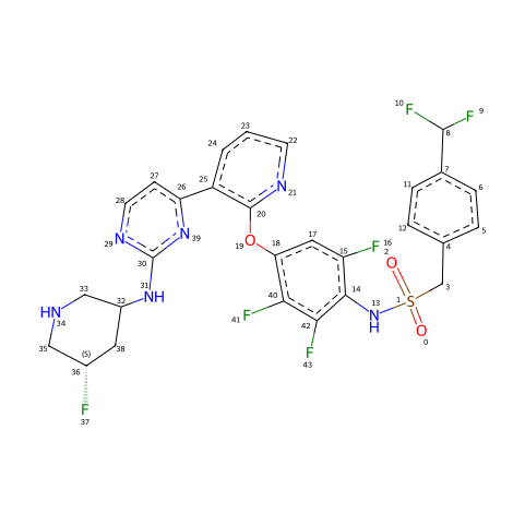 O=S(=O)(Cc1ccc(C(F)F)cc1)Nc1c(F)cc(Oc2ncccc2-c2ccnc(NC3CNC[C@@H](F)C3)n2)c(F)c1F